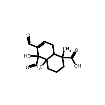 CC1(C(=O)O)CCCC2(C)C1CC=C(C=O)C2(O)C=O